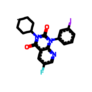 O=c1c2cc(F)cnc2n(-c2cccc(I)c2)c(=O)n1C1CC[CH]CC1